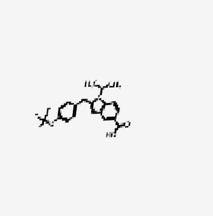 CC(C)n1c(Cc2ccc(OC(F)(F)F)cc2)cc2cc(C(=O)O)ccc21